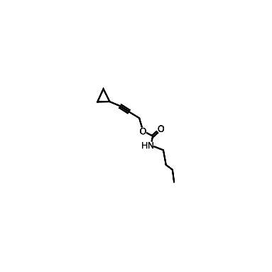 CCCCNC(=O)OCC#CC1CC1